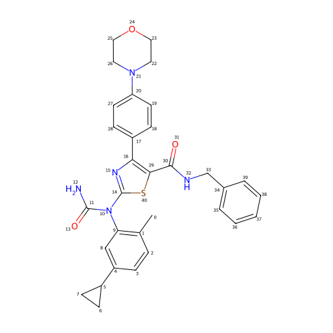 Cc1ccc(C2CC2)cc1N(C(N)=O)c1nc(-c2ccc(N3CCOCC3)cc2)c(C(=O)NCc2ccccc2)s1